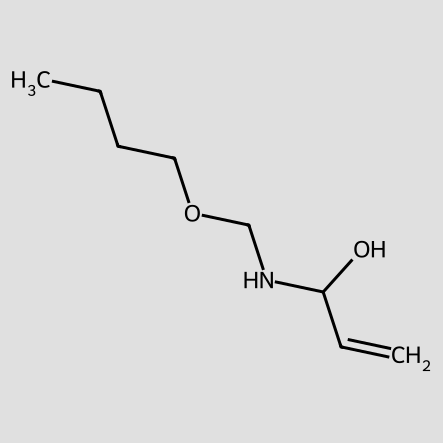 C=CC(O)NCOCCCC